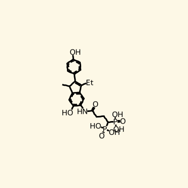 CCC1=C(c2ccc(O)cc2)C(C)c2cc(O)c(NC(=O)CCC(P(=O)(O)O)P(=O)(O)O)cc21